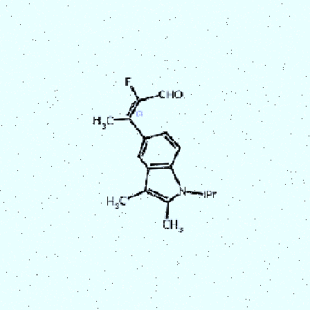 C/C(=C(\F)C=O)c1ccc2c(c1)c(C)c(C)n2C(C)C